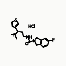 CN(C)[C@H](CCNC(=O)N1Cc2ccc(F)cc2C1)c1ccsc1.Cl